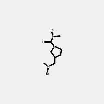 CCN(C)CC1CCN(C(=O)N(C)C(C)C)C1